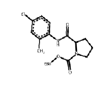 Cc1cc(Cl)ccc1NC(=O)C1CCCN1C(=O)OC(C)(C)C